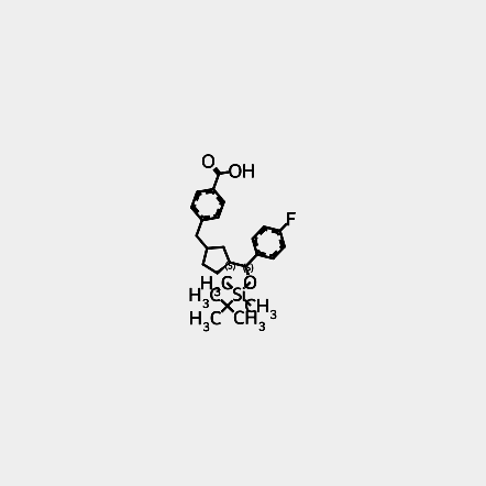 CC(C)(C)[Si](C)(C)O[C@H](c1ccc(F)cc1)[C@H]1CCC(Cc2ccc(C(=O)O)cc2)C1